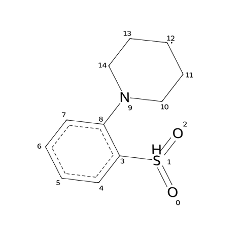 O=[SH](=O)c1ccccc1N1CC[CH]CC1